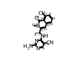 C[C@H](Nc1nc(N)ncc1C#N)c1cc2cccc(Cl)c2c(=O)n1C